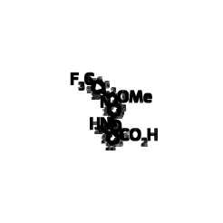 COc1cc(-c2ccc(C(F)(F)F)cc2)nc2cc(C(=O)N[C@@H](C)c3cccc(C(=O)O)c3)ccc12